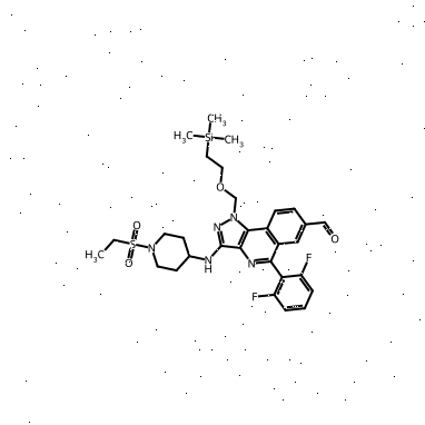 CCS(=O)(=O)N1CCC(Nc2nn(COCC[Si](C)(C)C)c3c2nc(-c2c(F)cccc2F)c2cc(C=O)ccc23)CC1